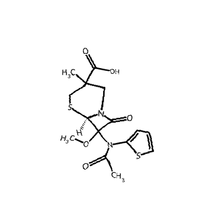 COC1(N(C(C)=O)c2cccs2)C(=O)N2CC(C)(C(=O)O)CS[C@@H]21